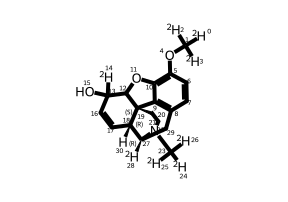 [2H]C([2H])([2H])Oc1ccc2c3c1OC1C([2H])(O)C=C[C@@H]4[C@@]31CCN(C([2H])([2H])[2H])[C@]4([2H])C2